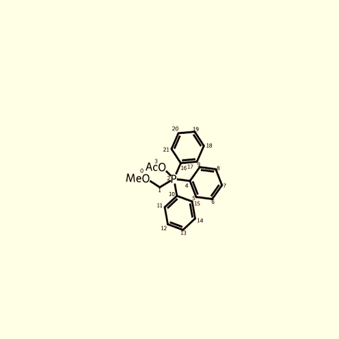 COCP(OC(C)=O)(c1ccccc1)(c1ccccc1)c1ccccc1